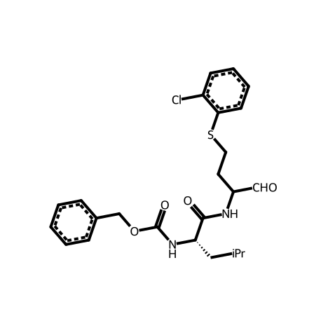 CC(C)C[C@H](NC(=O)OCc1ccccc1)C(=O)NC(C=O)CCSc1ccccc1Cl